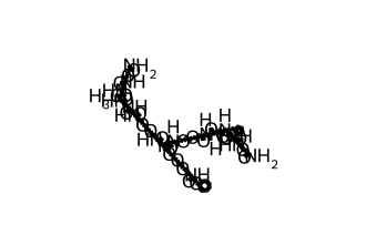 C[C@H](NC(=O)CNC(=O)CNC(=O)CCOCCOCCNC(=O)CN(CCOCCOCCOCCNC(=O)COC1C#CCCCCC1)CC(=O)NCCOCCOCCC(=O)NCC(=O)NCC(=O)N[C@@H](Cc1ccccc1)C(=O)NCC(=O)NCOCC(N)=O)C(=O)NCC(=O)NCOCC(N)=O